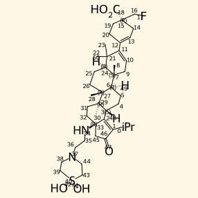 CC(C)C1=C2[C@H]3CC[C@@H]4[C@@]5(C)CC=C(C6=CC[C@@](CF)(C(=O)O)CC6)C(C)(C)[C@@H]5CC[C@@]4(C)[C@]3(C)CC[C@@]2(NCCN2CCS(O)(O)CC2)CC1=O